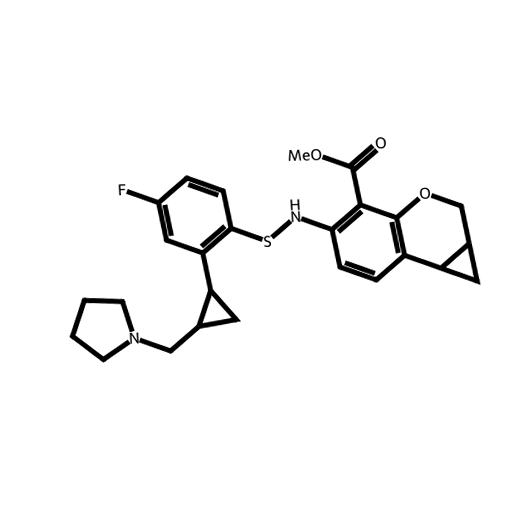 COC(=O)c1c(NSc2ccc(F)cc2C2CC2CN2CCCC2)ccc2c1OCC1CC21